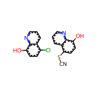 N#CSc1ccc(O)c2ncccc12.Oc1ccc(Cl)c2cccnc12